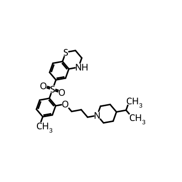 Cc1ccc(S(=O)(=O)c2ccc3c(c2)NCCS3)c(OCCCN2CCC(C(C)C)CC2)c1